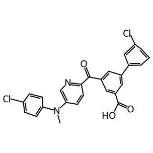 CN(c1ccc(Cl)cc1)c1ccc(C(=O)c2cc(C(=O)O)cc(-c3cccc(Cl)c3)c2)nc1